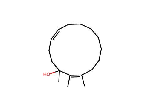 CC1=C(C)C(C)(O)CCC=CCCCCCCC1